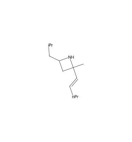 CCCC=CC1(C)CC(CC(C)C)N1